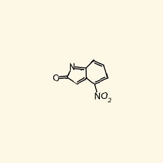 O=C1C=c2c([N+](=O)[O-])cccc2=N1